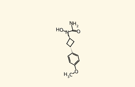 COc1ccc([C@H]2C[C@H](N(O)C(N)=O)C2)cc1